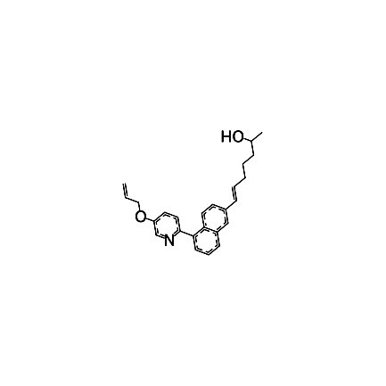 C=CCOc1ccc(-c2cccc3cc(/C=C/CCCC(C)O)ccc23)nc1